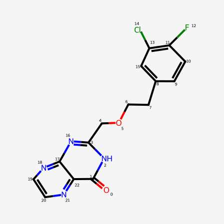 O=c1[nH]c(COCCc2ccc(F)c(Cl)c2)nc2nccnc12